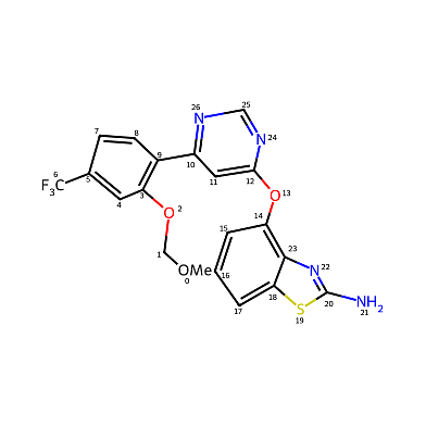 COCOc1cc(C(F)(F)F)ccc1-c1cc(Oc2cccc3sc(N)nc23)ncn1